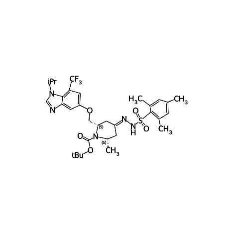 Cc1cc(C)c(S(=O)(=O)NN=C2C[C@@H](COc3cc(C(F)(F)F)c4c(c3)ncn4C(C)C)N(C(=O)OC(C)(C)C)[C@@H](C)C2)c(C)c1